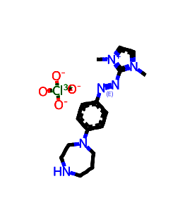 Cn1cc[n+](C)c1/N=N/c1ccc(N2CCCNCC2)cc1.[O-][Cl+3]([O-])([O-])[O-]